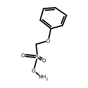 NOS(=O)(=O)COc1ccccc1